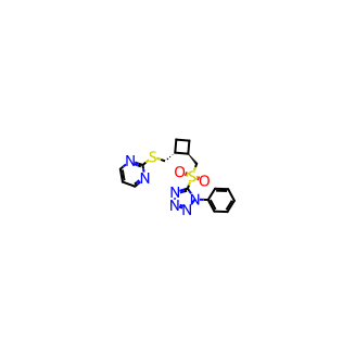 O=S(=O)(C[C@@H]1CC[C@H]1CSc1ncccn1)c1nnnn1-c1ccccc1